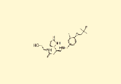 C=C(C/C(=C/NCc1ccc(OCC(C)(C)F)c(C)c1)C1C=CNN1)NCCO